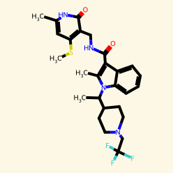 CSc1cc(C)[nH]c(=O)c1CNC(=O)c1c(C)n(C(C)C2CCN(CC(F)(F)F)CC2)c2ccccc12